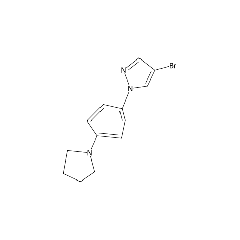 Brc1cnn(-c2ccc(N3CCCC3)cc2)c1